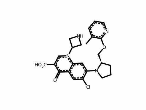 Cc1cccnc1OC[C@H]1CCCN1c1cc2c(cc1Cl)c(=O)c(C(=O)O)cn2C1CNC1